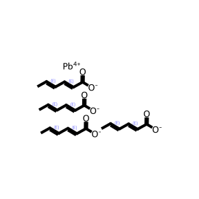 C/C=C/C=C/C(=O)[O-].C/C=C/C=C/C(=O)[O-].C/C=C/C=C/C(=O)[O-].C/C=C/C=C/C(=O)[O-].[Pb+4]